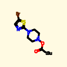 CC(C)(C)C(=O)ON1CCN(c2ncc(Br)s2)CC1